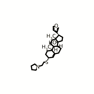 C[C@]12CC[C@H](SCCN3CCCC3)C=C1CC[C@@H]1[C@@H]2CC[C@]2(C)[C@@H](c3ccoc3)CC[C@]12O